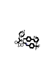 COC(=O)C(CN1CCN(C)CC1)N(Cc1ccc(-c2ccccn2)cc1)C(=O)/C=C/c1ccc(C(F)(F)F)cc1